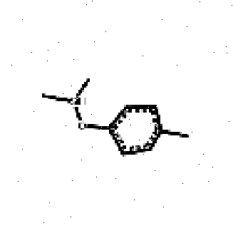 C[SiH](C)Oc1ccc(I)cc1